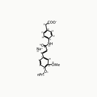 CCCOc1ccc(C=CC(=O)Nc2ccc(CC(=O)[O-])cc2)cc1OC.[Na+]